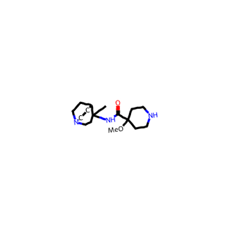 COC1(C(=O)NC2(C)CCN3CCC2CC3)CCNCC1